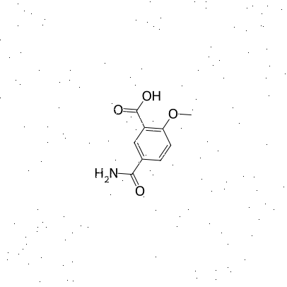 COc1ccc(C(N)=O)cc1C(=O)O